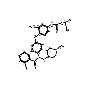 CCCCN1CCC(ON(C(=O)c2ccccc2C)c2ccc(Oc3ccc(NC(=O)NC(CC)CC)cc3OC)cc2)CC1